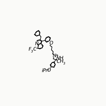 CC(C)Oc1ccc(C2(C)CN(CCCCCOc3cccc(-c4c(Cc5ccccc5)cnc5c(C(F)(F)F)cccc45)c3)CN2)cc1